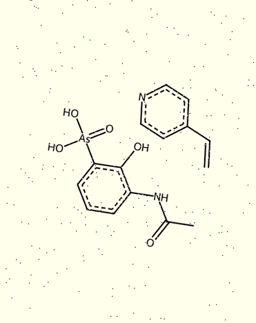 C=Cc1ccncc1.CC(=O)Nc1cccc([As](=O)(O)O)c1O